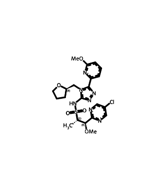 COc1cccc(-c2nnc(NS(=O)(=O)[C@@H](C)[C@H](OC)c3ncc(Cl)cn3)n2C[C@H]2CCCO2)n1